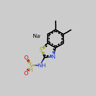 Cc1cc2nc(N[SH](=O)=O)sc2cc1C.[Na]